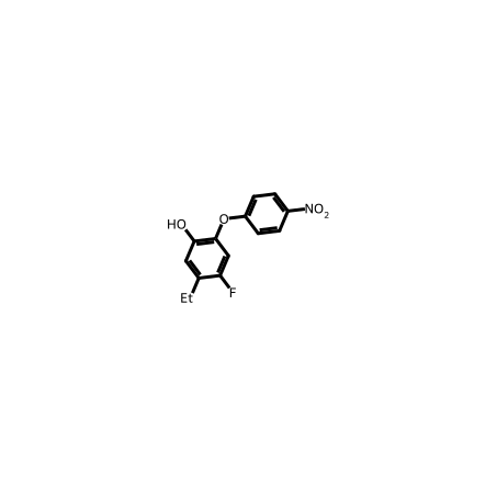 CCc1cc(O)c(Oc2ccc([N+](=O)[O-])cc2)cc1F